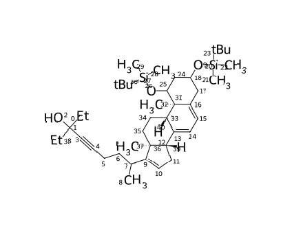 CCC(O)(C#CCCC(C)C1=CC[C@H]2C3=CC=C4CC(O[Si](C)(C)C(C)(C)C)CC(O[Si](C)(C)C(C)(C)C)[C@]4(C)[C@H]3CC[C@]12C)CC